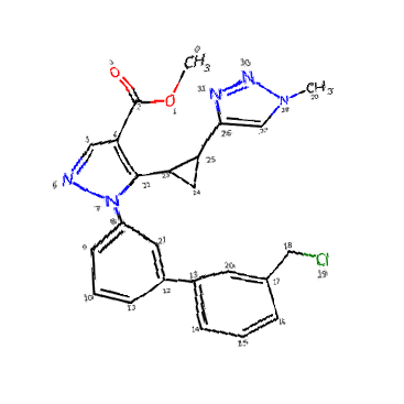 COC(=O)c1cnn(-c2cccc(-c3cccc(CCl)c3)c2)c1C1CC1c1cn(C)nn1